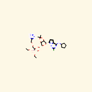 CCOP(=O)(OCC)[C@@](CO)(COCc1nn[nH]n1)OC[C@H]1O[C@H](c2ccc3c(NC4CCCC4)nc(Cl)nn23)[C@@H]2OC(C)(C)O[C@@H]21